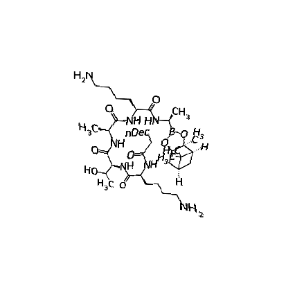 CCCCCCCCCCCC(=O)N[C@@H](CCCCN)C(=O)N[C@H](C(=O)N[C@@H](C)C(=O)N[C@@H](CCCCN)C(=O)N[C@@H](C)B1OC2C[C@@H]3C[C@@H](C3(C)C)[C@]2(C)O1)C(C)O